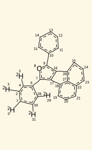 [2H]c1c([2H])c([2H])c(-c2oc(-c3ccccc3)c3c2-c2cccc4cccc-3c24)c([2H])c1[2H]